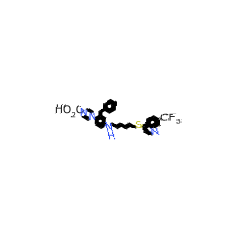 O=C(O)N1CCN(c2ccc(NCCCCCCSc3ccnc4cc(C(F)(F)F)ccc34)cc2Cc2ccccc2)CC1